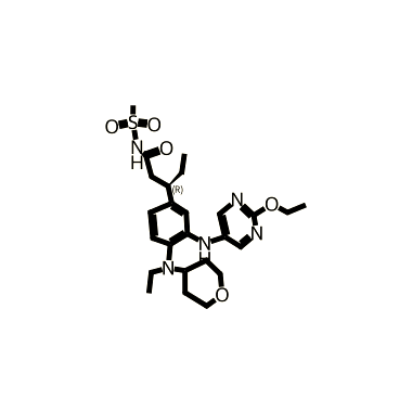 CCOc1ncc(Nc2cc([C@H](CC)CC(=O)NS(C)(=O)=O)ccc2N(CC)C2CCOCC2)cn1